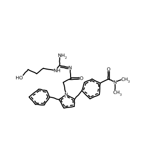 CN(C)C(=O)c1ccc(-c2ccc(-c3ccccc3)n2CC(=O)/N=C(/N)NCCCO)cc1